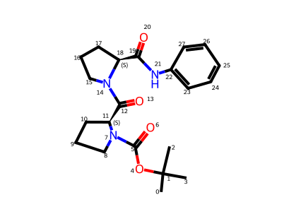 CC(C)(C)OC(=O)N1CCC[C@H]1C(=O)N1CCC[C@H]1C(=O)Nc1ccccc1